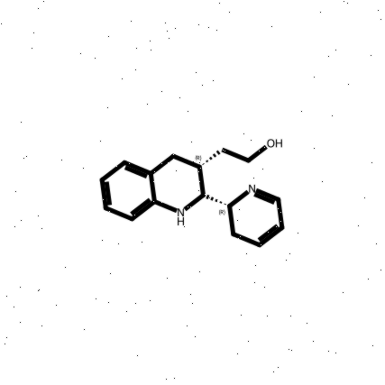 OCC[C@H]1Cc2ccccc2NC1[C@H]1CC=CC=N1